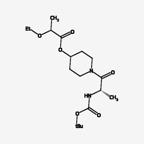 CCOC(C)C(=O)OC1CCN(C(=O)[C@H](C)NC(=O)OC(C)(C)C)CC1